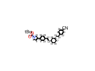 CC(C)(C)OC(=O)N1CC=C(c2ccc(/C=C/[C@H]3CCC[C@@H](CCc4ccc(C#N)cc4)C3)cc2)C1